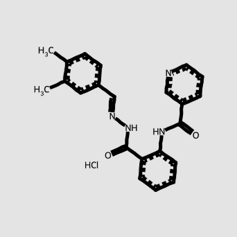 Cc1ccc(C=NNC(=O)c2ccccc2NC(=O)c2cccnc2)cc1C.Cl